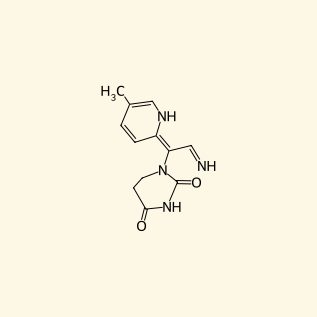 CC1=CN/C(=C(\C=N)N2CCC(=O)NC2=O)C=C1